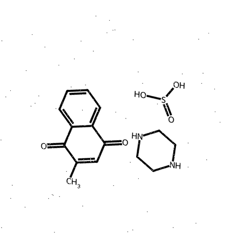 C1CNCCN1.CC1=CC(=O)c2ccccc2C1=O.O=S(O)O